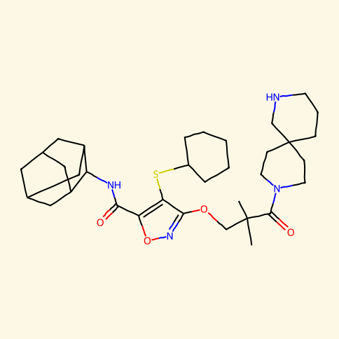 CC(C)(COc1noc(C(=O)NC2C3CC4CC(C3)CC2C4)c1SC1CCCCC1)C(=O)N1CCC2(CCCNC2)CC1